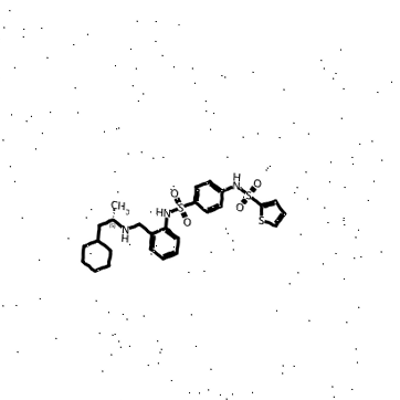 C[C@@H](CC1CCCCC1)NCc1ccccc1NS(=O)(=O)c1ccc(NS(=O)(=O)c2cccs2)cc1